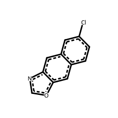 Clc1ccc2cc3ocnc3cc2c1